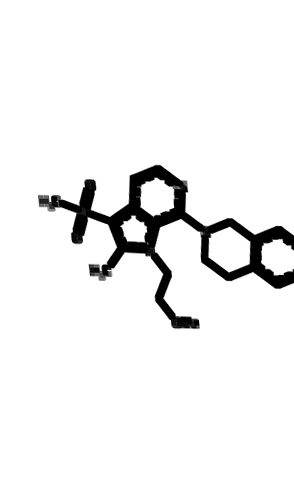 COCCn1c(C)c(S(C)(=O)=O)c2ccnc(N3CCc4ccccc4C3)c21